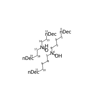 CCCCCCCCCCCCCCN(O)CCCCCCCCCCCCCC.CCCCCCCCCCCCN(O)CCCCCCCCCCCC